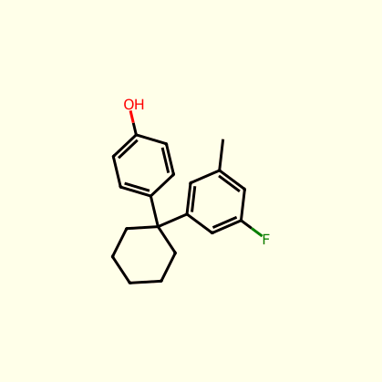 Cc1cc(F)cc(C2(c3ccc(O)cc3)CCCCC2)c1